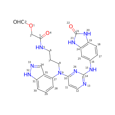 O=COCC(=O)NCCCN(c1ccnc(Nc2ccc3[nH]c(=O)[nH]c3c2)n1)c1cccc2[nH]ncc12